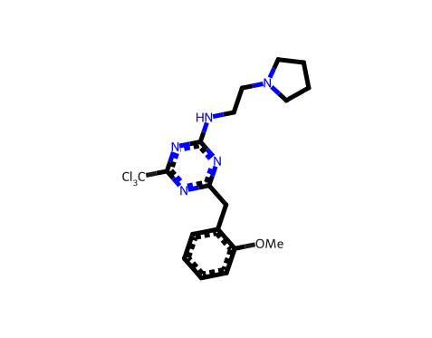 COc1ccccc1Cc1nc(NCCN2CCCC2)nc(C(Cl)(Cl)Cl)n1